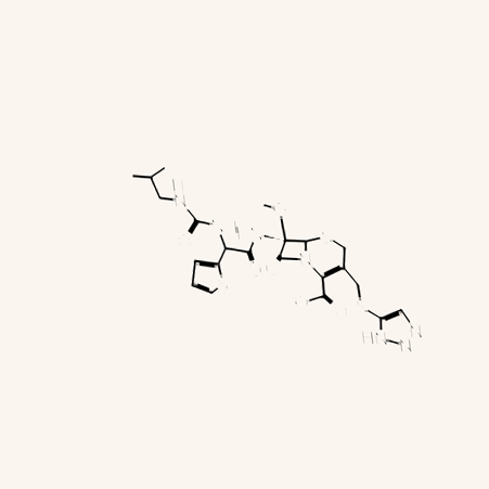 CO[C@@]1(NC(=O)C(NC(=O)NCC(C)C)c2cccs2)C(=O)N2C(C(=O)O)=C(CSc3cnn[nH]3)CSC21